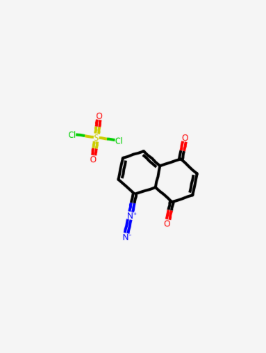 O=S(=O)(Cl)Cl.[N-]=[N+]=C1C=CC=C2C(=O)C=CC(=O)C21